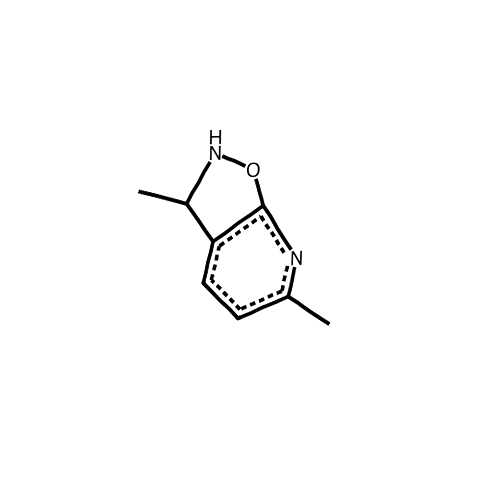 Cc1ccc2c(n1)ONC2C